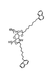 C[SiH](C)OC1O[C@H](COC(C)(C)C)[C@@H](O)[C@H](OC(=O)CCCCCCCCc2cccc3ccccc23)[C@H]1NC(=O)CCCCCCCCc1cccc2ccccc12